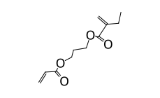 C=CC(=O)OCCCOC(=O)C(=C)CC